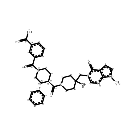 Cn1ccc2c(=O)n(CC3(O)CCN(C(=O)[C@@H]4CCN(C(=O)c5cccc(C(=O)O)c5)C[C@H]4c4ccccc4)CC3)cnc21